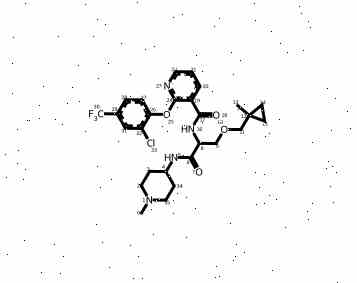 CN1CCC(NC(=O)C(COCC2(C)CC2)NC(=O)c2cccnc2Oc2ccc(C(F)(F)F)cc2Cl)CC1